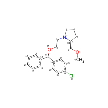 COC[C@@H]1CCCN1CCOC(c1ccccc1)c1ccc(Cl)cc1